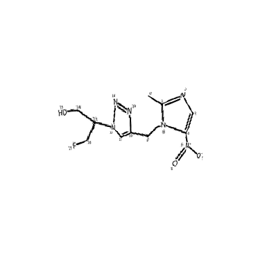 Cc1ncc([N+](=O)[O-])n1Cc1cn(C(CO)CF)nn1